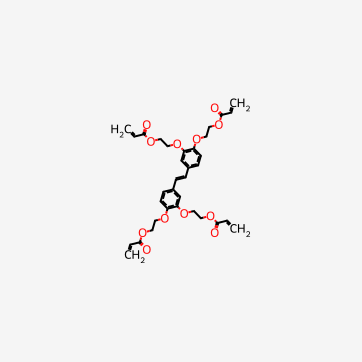 C=CC(=O)OCCOc1ccc(/C=C/c2ccc(OCCOC(=O)C=C)c(OCCOC(=O)C=C)c2)cc1OCCOC(=O)C=C